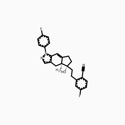 C[C@]12Cc3cnn(-c4ccc(F)cc4)c3C=C1CC[C@@]2(O)CCc1cc(F)ccc1C#N